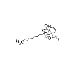 CCCCCCCCCCCC1(C(=O)O)CC=CCC1(C)C(=O)O